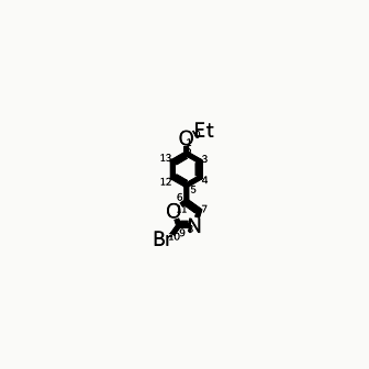 CCOc1ccc(-c2cnc(Br)o2)cc1